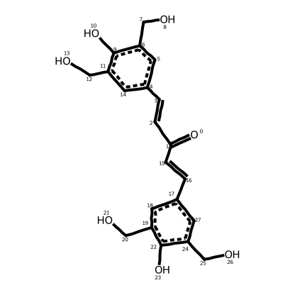 O=C(/C=C/c1cc(CO)c(O)c(CO)c1)/C=C/c1cc(CO)c(O)c(CO)c1